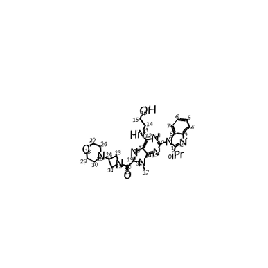 CC(C)c1nc2ccccc2n1-c1nc(NCCO)c2nc(C(=O)N3CC(N4CCOCC4)C3)n(C)c2n1